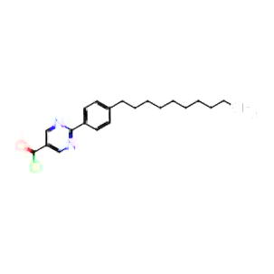 CCCCCCCCCCc1ccc(-c2ncc(C(=O)Cl)cn2)cc1